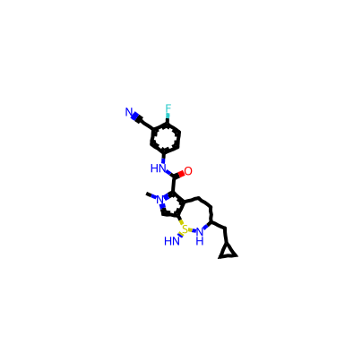 Cn1cc2c(c1C(=O)Nc1ccc(F)c(C#N)c1)CCC(CC1CC1)NS2=N